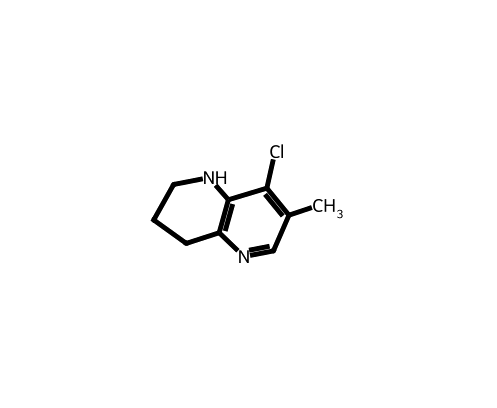 Cc1cnc2c(c1Cl)NCCC2